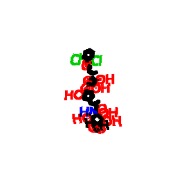 CC(=Cc1ccc(O[C@@H]2O[C@H](C(C)=CCOc3c(Cl)cccc3Cl)[C@@H](O)[C@@H]2O)c(O)c1)C(=O)N[C@@H]1[C@H](O)[C@@H](O)[C@H]2OCO[C@H]2[C@@H]1O